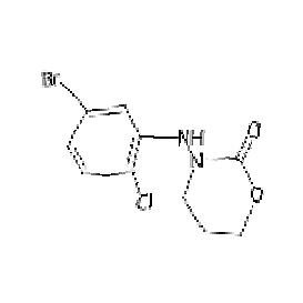 O=C1OCCCN1Nc1cc(Br)ccc1Cl